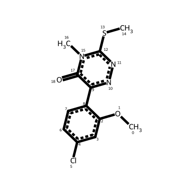 COc1cc(Cl)ccc1-c1nnc(SC)n(C)c1=O